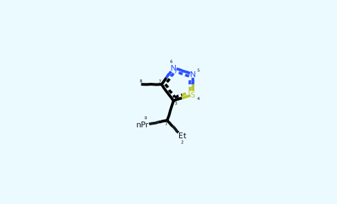 CCCC(CC)c1snnc1C